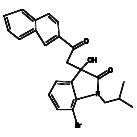 CC(C)CN1C(=O)C(O)(CC(=O)c2ccc3ccccc3c2)c2cccc(Br)c21